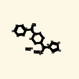 CCOC(=O)N(C1CCN(C(CC)c2ccccc2)CC1)n1cccc1.Cl